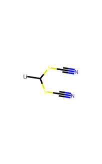 [Li][CH](SC#N)SC#N